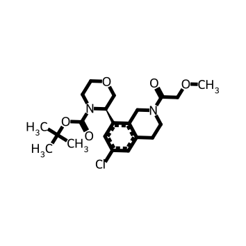 COCC(=O)N1CCc2cc(Cl)cc([C@@H]3COCCN3C(=O)OC(C)(C)C)c2C1